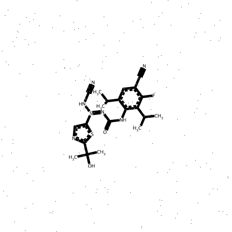 CC(C)c1cc(C#N)c(F)c(C(C)C)c1NC(=O)/N=S(/NC#N)c1cnc(C(C)(C)O)s1